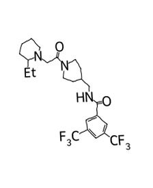 CCC1CCCCN1CC(=O)N1CCC(CNC(=O)c2cc(C(F)(F)F)cc(C(F)(F)F)c2)CC1